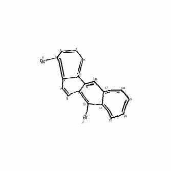 Brc1cccc2c1ccc1c(Br)c3ccccc3cc12